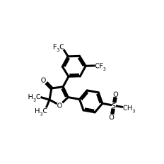 CC1(C)OC(c2ccc(S(C)(=O)=O)cc2)=C(c2cc(C(F)(F)F)cc(C(F)(F)F)c2)C1=O